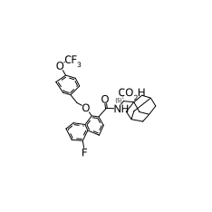 O=C(N[C@H](C(=O)O)C12CC3CC(CC(C3)C1)C2)c1ccc2c(F)cccc2c1OCc1ccc(OC(F)(F)F)cc1